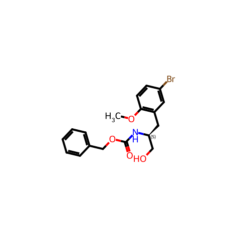 COc1ccc(Br)cc1C[C@@H](CO)NC(=O)OCc1ccccc1